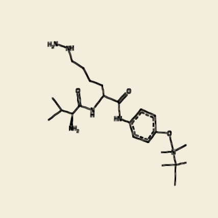 CC(C)[C@H](N)C(=O)NC(CCCCNN)C(=O)Nc1ccc(O[Si](C)(C)C(C)(C)C)cc1